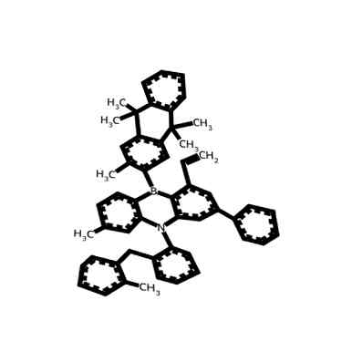 C=Cc1cc(-c2ccccc2)cc2c1B(c1cc3c(cc1C)C(C)(C)c1ccccc1C3(C)C)c1ccc(C)cc1N2c1ccccc1Cc1ccccc1C